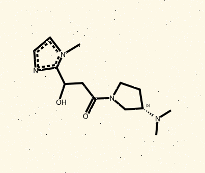 CN(C)[C@H]1CCN(C(=O)CC(O)c2nccn2C)C1